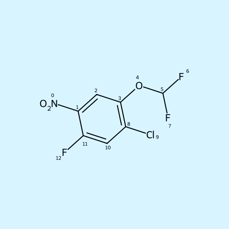 O=[N+]([O-])c1cc(OC(F)F)c(Cl)cc1F